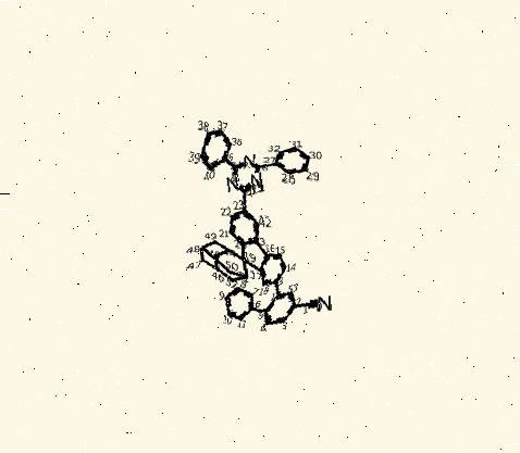 N#Cc1ccc(-c2ccccc2)c(-c2ccc3c(c2)C2(c4ccc(-c5nc(-c6ccccc6)nc(-c6ccccc6)n5)cc4-3)C3CC4CC(C3)CC2C4)c1